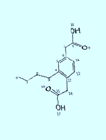 CCCCc1cc(CC(=O)O)ccc1CC(=O)O